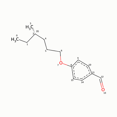 CC[C@H](C)CCCOc1ccc(C=O)cc1